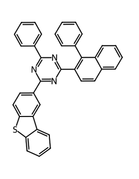 c1ccc(-c2nc(-c3ccc4sc5ccccc5c4c3)nc(-c3ccc4ccccc4c3-c3ccccc3)n2)cc1